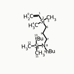 C=C[Si](C)(C)CCCN(CCCC)[Si](C)(C)C(C)(C)C